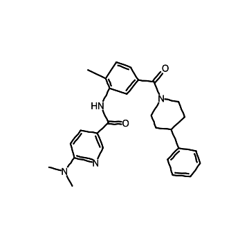 Cc1ccc(C(=O)N2CCC(c3ccccc3)CC2)cc1NC(=O)c1ccc(N(C)C)nc1